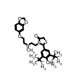 CN(CCOc1ccc2c(c1)OCO2)CCN1C(=O)CSC1c1cc(C(C)(C)C)c(O)c(C(C)(C)C)c1